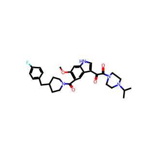 COc1cc2[nH]cc(C(=O)C(=O)N3CCN(C(C)C)CC3)c2cc1C(=O)N1CCC(Cc2ccc(F)cc2)CC1